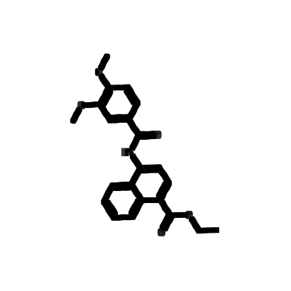 CCOC(=O)c1ccc(NC(=O)c2ccc(OC)c(OC)c2)c2ccccc12